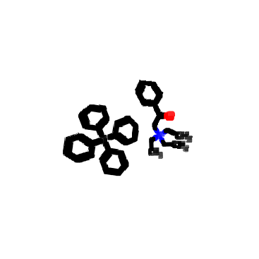 CC[N+](CC)(CC)CC(=O)c1ccccc1.c1ccc([B-](c2ccccc2)(c2ccccc2)c2ccccc2)cc1